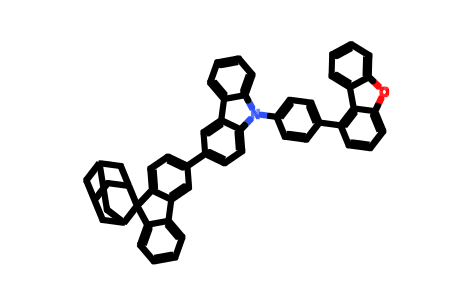 c1ccc2c(c1)-c1cc(-c3ccc4c(c3)c3ccccc3n4-c3ccc(-c4cccc5oc6ccccc6c45)cc3)ccc1C21C2CC3CC(C2)CC1C3